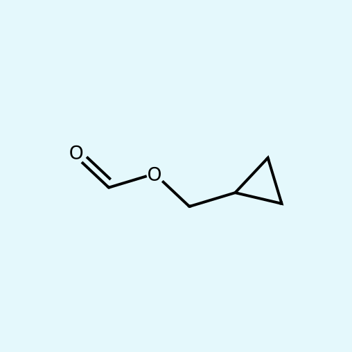 O=COCC1CC1